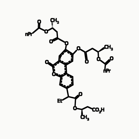 CCCC(=O)O[C@H](C)CC(=O)Oc1cc2c(=O)oc3cc(C(CC)C(=O)O[C@H](C)CC(=O)O)ccc3c2cc1OC(=O)C[C@@H](C)OC(=O)CCC